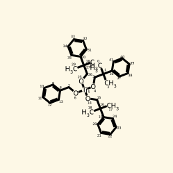 CC(C)(C[O][Ti]([O]Cc1ccccc1)([O]CC(C)(C)c1ccccc1)[O]CC(C)(C)c1ccccc1)c1ccccc1